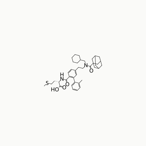 CSCC[C@H](NC(=O)c1ccc(CCN(CC2CCCCC2)C(=O)C23CC4CC(CC(C4)C2)C3)cc1-c1ccccc1C)C(=O)O